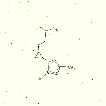 Cc1cc(C2C[C@H]2CCC(C)I)n(C(C)C)c1